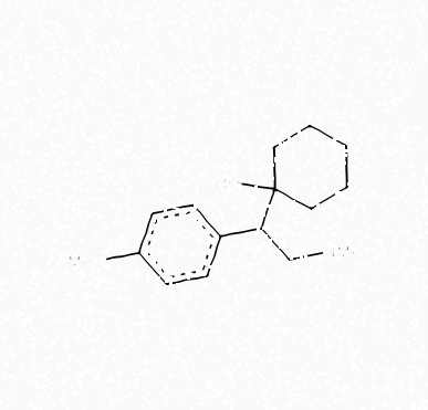 CNCC(c1ccc(OC)cc1)C1(O)CCCCC1